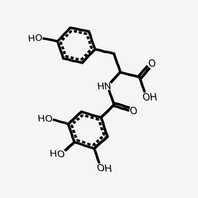 O=C(NC(Cc1ccc(O)cc1)C(=O)O)c1cc(O)c(O)c(O)c1